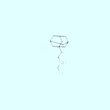 CCNCCC12CC3CC(CC(C3)C1)C2.Cl